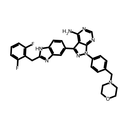 Nc1ncnc2c1c(-c1ccc3[nH]c(Cc4c(F)cccc4F)nc3c1)nn2-c1ccc(CN2CCOCC2)cc1